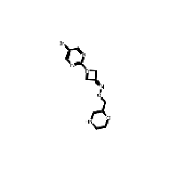 Brc1cnc(N2CC(=NOCC3CNCCO3)C2)nc1